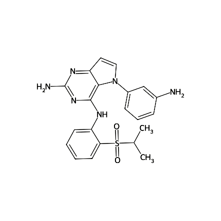 CC(C)S(=O)(=O)c1ccccc1Nc1nc(N)nc2ccn(-c3cccc(N)c3)c12